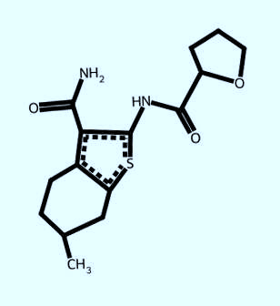 CC1CCc2c(sc(NC(=O)C3CCCO3)c2C(N)=O)C1